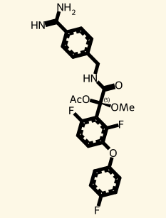 CO[C@@](OC(C)=O)(C(=O)NCc1ccc(C(=N)N)cc1)c1c(F)ccc(Oc2ccc(F)cc2)c1F